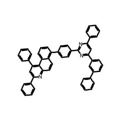 c1ccc(-c2cccc(-c3cc(-c4ccccc4)nc(-c4ccc(-c5cccc6c5ccc5nc(-c7ccccc7)cc(-c7ccccc7)c56)cc4)n3)c2)cc1